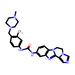 CN1CCN(Cc2ccc(NC(=O)Nc3ccc4c(c3)nc3n4CCn4cncc4-3)cc2C(F)(F)F)CC1